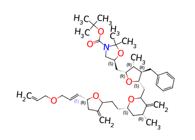 C=CCOC/C=C/[C@H]1CC(=C)C(CC[C@H]2C[C@@H](C)C(=C)C(C[C@@H]3O[C@H](C[C@H]4CN(C(=O)OC(C)(C)C)C(C)(C)O4)[C@H](C)[C@H]3Cc3ccccc3)O2)O1